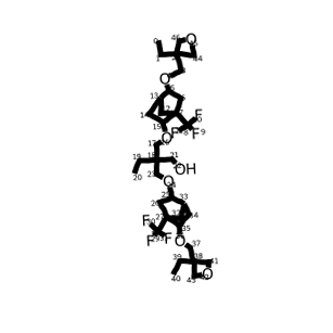 CCC1(COC2CC3(C(F)(F)F)CC2CC3OCC(CC)(CO)COC2CC3(C(F)(F)F)CC2CC3OCC2(CC)COC2)COC1